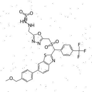 COCc1ccc(-c2ccc3nc(C(c4ccc(C(F)(F)F)cc4)S(=O)(=O)Cc4nnc(CNN[SH](=O)=O)o4)sc3c2)cc1